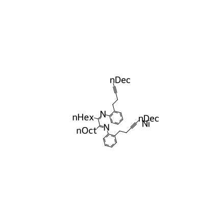 CCCCCCCCCCC#CCCc1ccccc1N=C(CCCCCC)C(CCCCCCCC)=Nc1ccccc1CCC#CCCCCCCCCCC.[Ni]